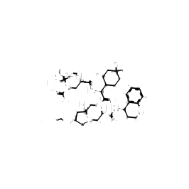 CCO[C@@H]1C[C@@H]2CN(C(=O)[C@@H](NC(=O)[C@@H](CC)CN(C(=O)O)C(C)(C)C)C3CCC(F)(F)CC3)[C@H](C(=O)N[C@@H]3CCOc4ccccc43)CN2C1